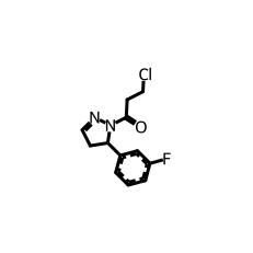 O=C(CCCl)N1N=CCC1c1cccc(F)c1